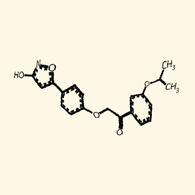 CC(C)Oc1cccc(C(=O)COc2ccc(-c3cc(O)no3)cc2)c1